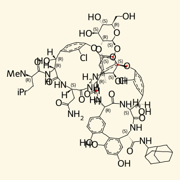 CN[C@H](CC(C)C)C(=O)N[C@H]1C(=O)N[C@@H](CC(N)=O)C(=O)N[C@H]2C(=O)N[C@H]3C(=O)N[C@H](C(=O)N[C@H](C(=O)NC4C5CC6CC(C5)CC4C6)c4cc(O)cc(O)c4-c4cc3ccc4O)[C@H](O)c3ccc(c(Cl)c3)Oc3cc2cc(c3O[C@@H]2O[C@H](CO)[C@@H](O)[C@H](O)[C@H]2O[C@H]2C[C@](C)(N)[C@H](O)[C@H](C)O2)Oc2ccc(cc2Cl)[C@H]1O